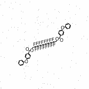 O=C(OCC(F)(F)C(F)(F)C(F)(F)C(F)(F)C(F)(F)C(F)(F)C(F)(F)C(F)(F)COC(=O)c1ccc(Oc2ccccc2)cc1)c1ccc(Oc2ccccc2)cc1